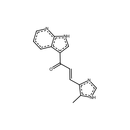 Cc1[nH]cnc1/C=C/C(=O)c1c[nH]c2ncccc12